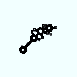 CN1C(=O)N(c2c(F)cc(C#Cc3ccccc3)cc2F)C(=O)C[C@@]1(C)c1ccc(Cl)nc1